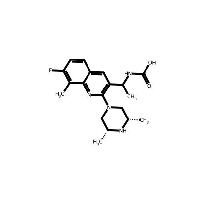 Cc1c(F)ccc2cc(C(C)NC(=O)O)c(N3C[C@@H](C)N[C@@H](C)C3)nc12